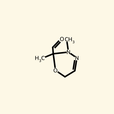 CN1N=CCOC1(C)C=O